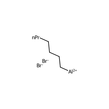 CCCCCC[CH2][Al+2].[Br-].[Br-]